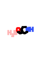 Bc1cc2c(o1)CCNCC2